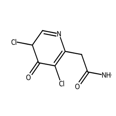 [NH]C(=O)CC1=C(Cl)C(=O)C(Cl)C=N1